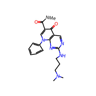 CNC(=O)c1cn(-c2ccccc2)c2nc(NCCCN(C)C)ncc2c1=O